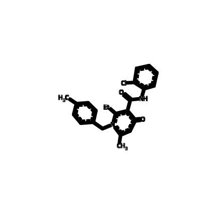 CCc1c(C(=O)Nc2ccccc2Cl)c(=O)cc(C)n1Cc1ccc(C)cc1